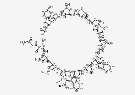 CCCC[C@H]1C(=O)N(C)[C@@H](CCCC)C(=O)N[C@@H](CN)C(=O)N[C@H](C(=O)NCC(N)=O)CSCC(=O)N[C@@H](Cc2ccc(O)cc2)C(=O)N(C)[C@@H](C)C(=O)N[C@@H](CC(=O)O)C(=O)N2CCC[C@H]2C(=O)N[C@@H](CN)C(=O)N[C@@H](CC(C)C)C(=O)N2C[C@H](O)C[C@H]2C(=O)N[C@@H](Cc2c[nH]c3ccccc23)C(=O)N[C@@H](CO)C(=O)N[C@@H](Cc2cn(CC(=O)O)c3ccccc23)C(=O)N1C